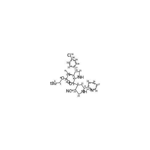 CN(C(=O)OCC(C)(C)C)[C@@H]1C(C(=O)C2CC(c3ccccn3)NCC2C#N)NC[C@H]1c1ccc(Cl)cc1